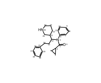 O=C(C1CC1)N(c1ccccc1)C(CCc1ccccc1)C1CCCNC1